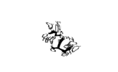 O=C([O-])C(O)C(O)C(=O)[O-].O=C([O-])C(O)C(O)C(=O)[O-].[B+3].[K+]